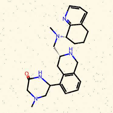 CN1CC(=O)NC(c2cccc3c2C[C@H](CN(C)[C@H]2CCCc4cccnc42)NC3)C1